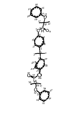 CC(C)(c1ccc(O[PH](=O)C(C)(C)Oc2ccccc2)cc1)c1ccc(O[PH](=O)C(C)(C)Oc2ccccc2)cc1